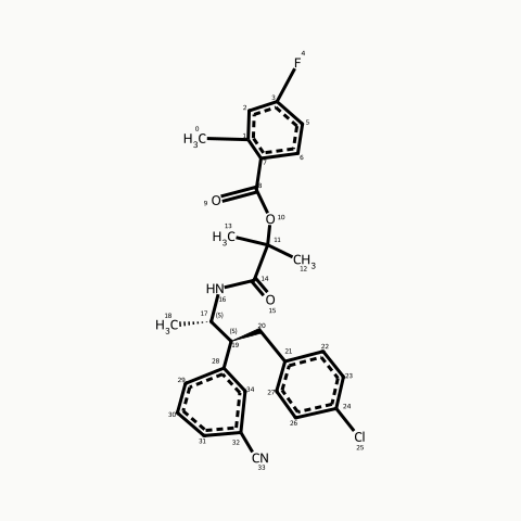 Cc1cc(F)ccc1C(=O)OC(C)(C)C(=O)N[C@@H](C)[C@@H](Cc1ccc(Cl)cc1)c1cccc(C#N)c1